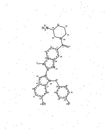 C=C(c1ccn2c(C)c(-c3cc4ccc(CC)cc4n3Cc3ccc(F)cc3)nc2c1)N1CCCC(N)C1